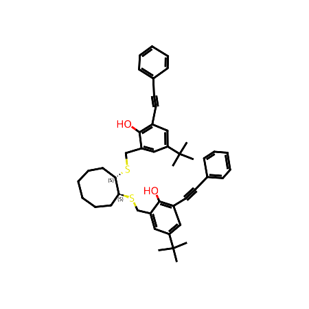 CC(C)(C)c1cc(C#Cc2ccccc2)c(O)c(CS[C@H]2CCCCCC[C@@H]2SCc2cc(C(C)(C)C)cc(C#Cc3ccccc3)c2O)c1